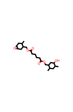 CC1CC(C)C(COC(=O)CCCCC(=O)OCC2CC3OC3CC2C)CC1O